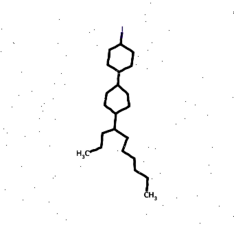 CCCCCCC(CCC)C1CCC(C2CCC(I)CC2)CC1